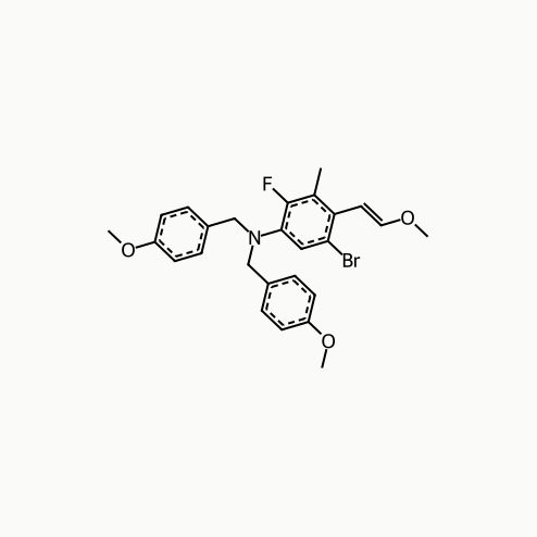 COC=Cc1c(Br)cc(N(Cc2ccc(OC)cc2)Cc2ccc(OC)cc2)c(F)c1C